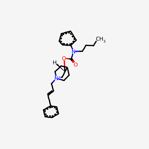 CCCCN(C(=O)O[C@H]1C[N+]2(C/C=C/c3ccccc3)CCC1CC2)c1ccccc1